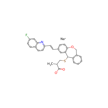 CC(CSC1c2ccccc2COc2ccc(/C=C/c3ccc4ccc(F)cc4n3)cc21)C(=O)[O-].[Na+]